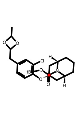 CC1OC(Cc2ccc(O[C@H]3C[C@H]4CCC[C@@H](C3)N4C(=O)OC(C)(C)C)c(Cl)c2)O1